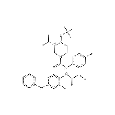 Cc1cc(Oc2ccccc2)ccc1N(C(=O)CCl)[C@H](C(=O)N1CCN(OC(C)(C)C)[C@@H](C(C)C)C1)c1ccc(F)cc1